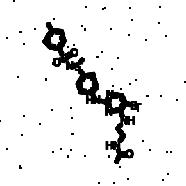 CC(=O)NCCNc1nc(Nc2ccc(S(C)=NS(=O)(=O)c3ccc(C)cc3)cc2)ncc1Br